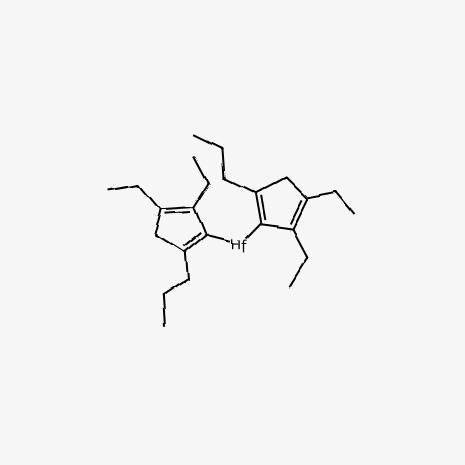 CCCC1=[C]([Hf][C]2=C(CCC)CC(CC)=C2CC)C(CC)=C(CC)C1